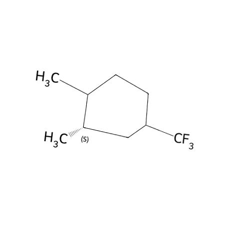 CC1CCC(C(F)(F)F)C[C@@H]1C